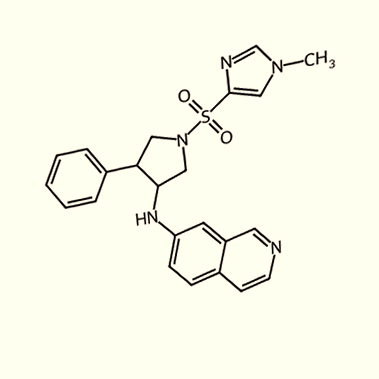 Cn1cnc(S(=O)(=O)N2CC(Nc3ccc4ccncc4c3)C(c3ccccc3)C2)c1